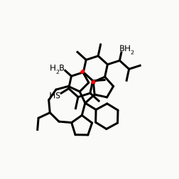 BC(C(C)C)C(C1CCC(C2(C3CCCCC3)C(CC)CCCC(CC)CC3CCCC32)C1)C(C)C(C)C1C(B)C(S)C(C)C(C)C1C